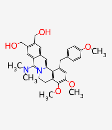 COc1ccc(Cc2cc(OC)c(OC)c3c2-c2cc4cc(CO)c(CO)cc4c(N(C)C)[n+]2CC3)cc1